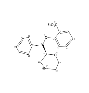 CCOC(=O)c1ccccc1OC(c1ccccc1)[C@@H]1CNCCO1